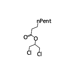 CCCCCCCC(=O)OC(CCl)CCl